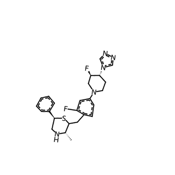 C[C@@H]1NC[C@@H](c2ccccc2)SC1Cc1ccc(N2CC[C@@H](n3cnnc3)[C@H](F)C2)cc1F